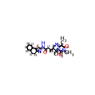 CCC(/C=N\c1c(C)c(=O)n(C)c(=O)n1C)CCC(=O)Nc1nc2c(s1)-c1ccccc1CC2